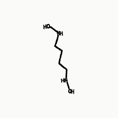 ONCCCCNO